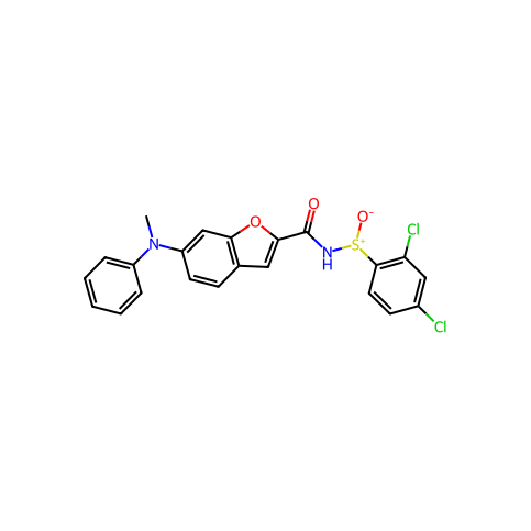 CN(c1ccccc1)c1ccc2cc(C(=O)N[S+]([O-])c3ccc(Cl)cc3Cl)oc2c1